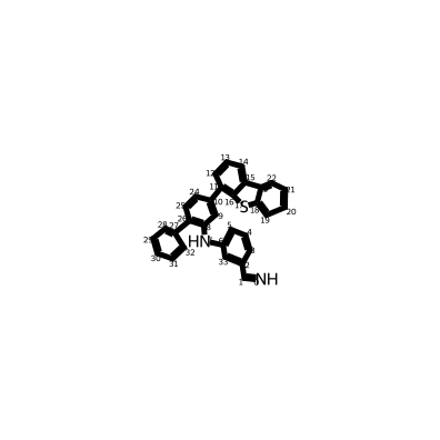 N=Cc1cccc(Nc2cc(-c3cccc4c3sc3ccccc34)ccc2-c2ccccc2)c1